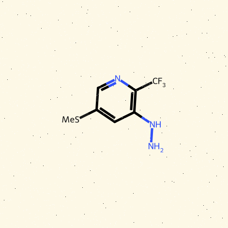 CSc1cnc(C(F)(F)F)c(NN)c1